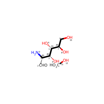 N[C@@H](C=O)[C@@H](O)[C@H](O)[C@H](O)CO.O=C(O)O